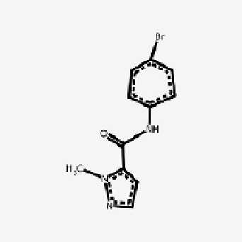 Cn1nccc1C(=O)Nc1ccc(Br)cc1